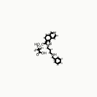 O=C(O)C(F)(F)F.O=C(O)c1c2c(nn1CCCNCc1ccccc1)-c1ccncc1CC2